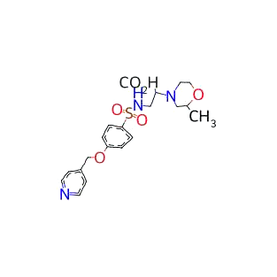 CC1CN(C(CNS(=O)(=O)c2ccc(OCc3ccncc3)cc2)C(=O)O)CCO1